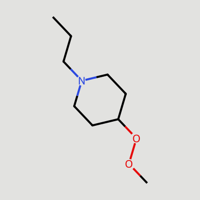 CCCN1CCC(OOC)CC1